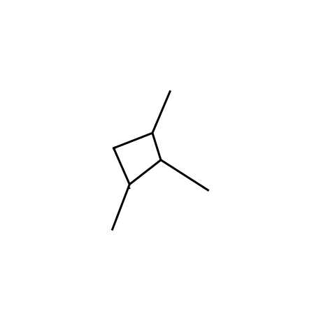 C[C]1CC(C)C1C